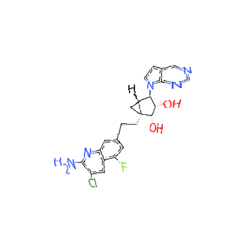 Nc1nc2cc(CC[C@]34C[C@@H]3[C@@H](n3ccc5cncnc53)[C@H](O)[C@@H]4O)cc(F)c2cc1Cl